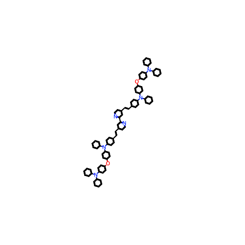 C(=C\c1ccnc(-c2cc(/C=C/c3ccc(N(c4ccccc4)c4ccc(Oc5ccc(N(c6ccccc6)c6ccccc6)cc5)cc4)cc3)ccn2)c1)/c1ccc(N(c2ccccc2)c2ccc(Oc3ccc(N(c4ccccc4)c4ccccc4)cc3)cc2)cc1